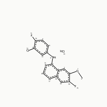 COc1cc2c(Nc3ccc(F)c(Cl)c3)ncnc2cc1F.Cl